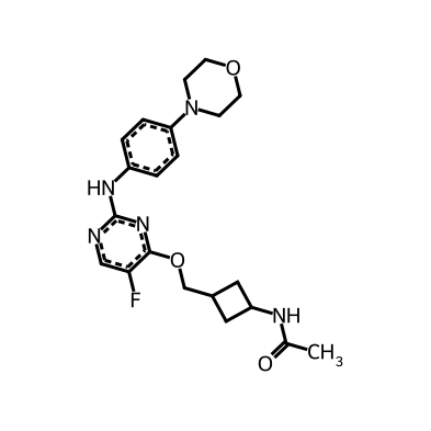 CC(=O)NC1CC(COc2nc(Nc3ccc(N4CCOCC4)cc3)ncc2F)C1